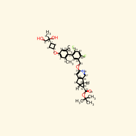 Cc1cc(O[C@H]2C[C@H](C(C)(O)CO)C2)cc(C)c1-c1cc(COc2cc3c(cn2)[C@H]2[C@@H](C3)[C@@H]2C(=O)OC(C)(C)C)c(F)cc1F